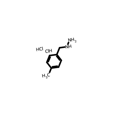 Cc1ccc(CNN)cc1.Cl.Cl